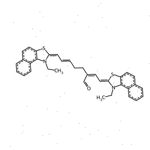 CCN1C(=CC=CCCC(C=O)=CC=C2Sc3ccc4ccccc4c3N2CC)Sc2ccc3ccccc3c21